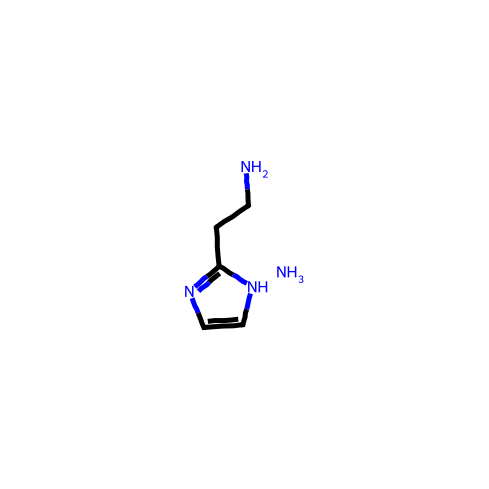 N.NCCc1ncc[nH]1